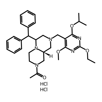 CCOc1nc(OC)c(CN2CC(C(c3ccccc3)c3ccccc3)N3CCN(C(C)=O)C[C@H]3C2)c(OC(C)C)n1.Cl.Cl